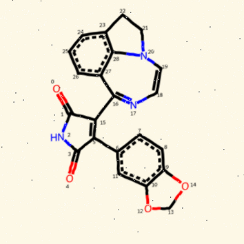 O=C1NC(=O)C(c2ccc3c(c2)OCO3)=C1C1=NC=CN2CCc3cccc1c32